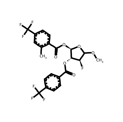 COC1O[C@H](OC(=O)c2ccc(C(F)(F)F)cc2C)[C@@H](OC(=O)c2ccc(C(F)(F)F)cc2)[C@@H]1F